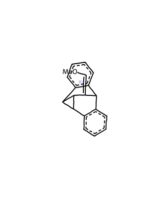 CO/C=C1/C2c3ccccc3C3C1C3c1ccccc12